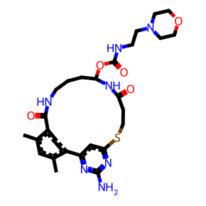 Cc1cc(C)c2cc1C(=O)NCCCC(OC(=O)NCCN1CCOCC1)NC(=O)CCSc1cc-2nc(N)n1